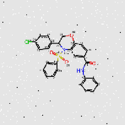 O=C(Nc1ccccc1)c1ccc2c(c1)N(S(=O)(=O)c1ccccc1)C(c1ccc(Cl)cc1)CO2